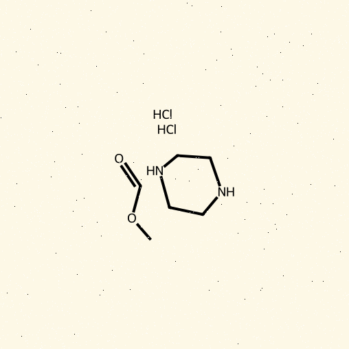 C1CNCCN1.COC=O.Cl.Cl